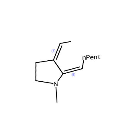 C/C=C1/CCN(C)/C1=C/CCCCC